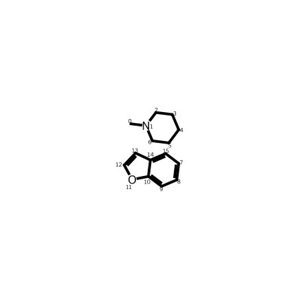 CN1CCCCC1.c1ccc2occc2c1